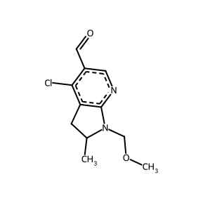 COCN1c2ncc(C=O)c(Cl)c2CC1C